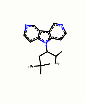 CCCCC(C)C(CC(C)(C)CCC)n1c2ccncc2c2cnccc21